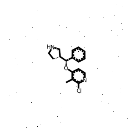 Cc1c(O[C@H](c2ccccc2)[C@@H]2CCNC2)ccnc1Cl